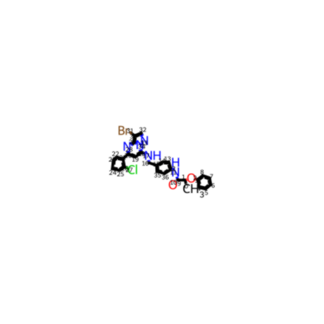 CC(Oc1ccccc1)C(=O)Nc1ccc(CNc2cc(-c3ccccc3Cl)nc3c(Br)cnn23)cc1